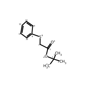 CC(C)(C)OC(=O)CSc1ccccc1